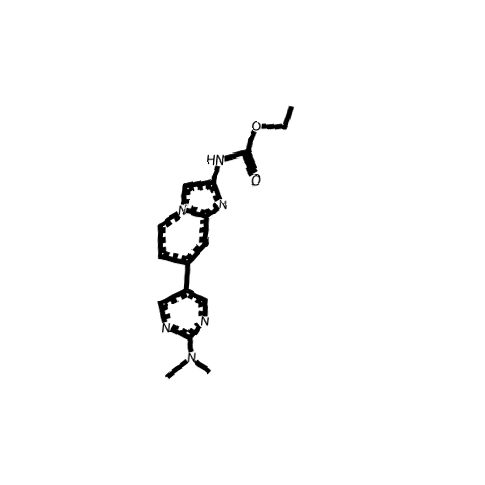 CCOC(=O)Nc1cn2ccc(-c3cnc(N(C)C)nc3)cc2n1